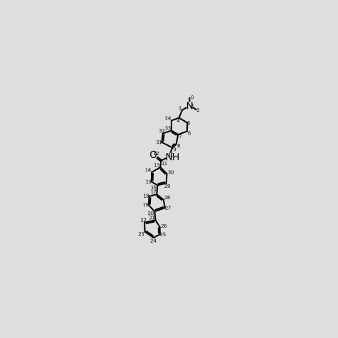 CN(C)CC1CCc2cc(NC(=O)c3ccc(-c4ccc(-c5ccccc5)cc4)cc3)ccc2C1